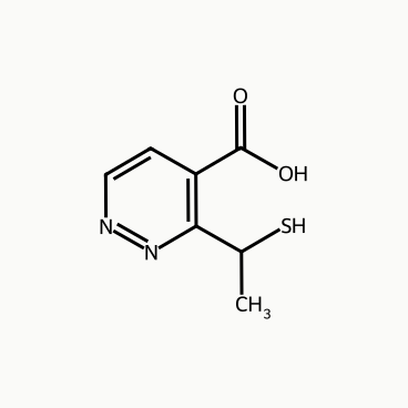 CC(S)c1nnccc1C(=O)O